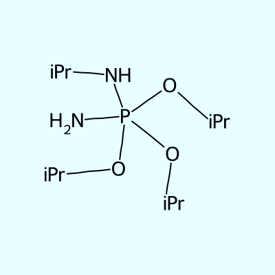 CC(C)NP(N)(OC(C)C)(OC(C)C)OC(C)C